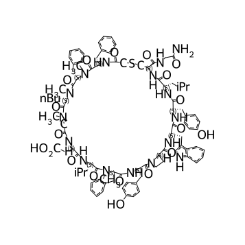 CCCC[C@H]1C(=O)N(C)CC(=O)N[C@@H](CC(=O)O)C(=O)N[C@@H](C(C)C)C(=O)N(C)[C@@H](Cc2ccccc2)C(=O)N[C@@H](Cc2ccc(O)cc2)C(=O)N2CC[C@@H]2C(=O)N[C@@H](Cc2c[nH]c3ccccc23)C(=O)N[C@@H](Cc2ccc(O)cc2)C(=O)N[C@@H](CC(C)C)C(=O)N[C@H](C(=O)NCC(N)=O)CSCC(=O)N[C@@H](Cc2ccccc2)C(=O)N(C)[C@@H](Cc2ccccc2)C(=O)N1C